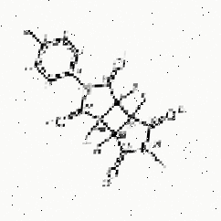 Cc1ccc(N2C(=O)C3(C)C4(C)C(=O)N(C)C(=O)C4(C)C3(C)C2=O)cc1